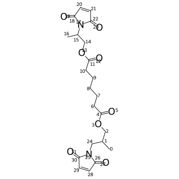 CC(COC(=O)CCCCCC(=O)OCC(C)N1C(=O)C=CC1=O)CN1C(=O)C=CC1=O